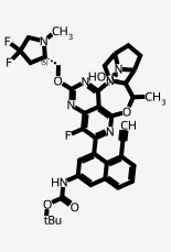 C#Cc1cccc2cc(NC(=O)OC(C)(C)C)cc(-c3nc4c5c(nc(OC[C@@H]6CC(F)(F)CN6C)nc5c3F)N3CC5CCC(C3C(C)O4)N5C(=O)O)c12